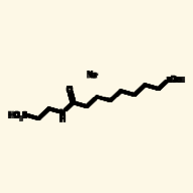 CCCCCCCCCCCCCCCCCC(=O)NCCS(=O)(=O)O.[Na]